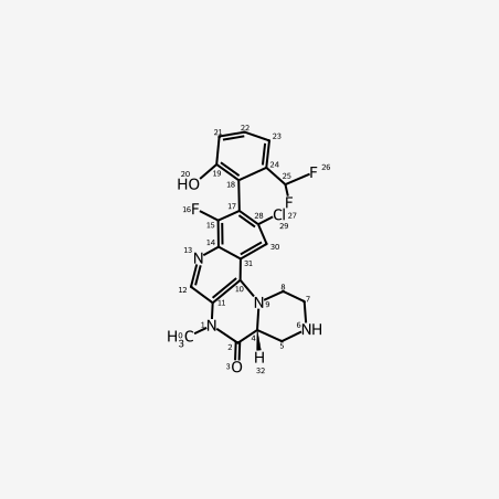 CN1C(=O)[C@H]2CNCCN2c2c1cnc1c(F)c(-c3c(O)cccc3C(F)F)c(Cl)cc21